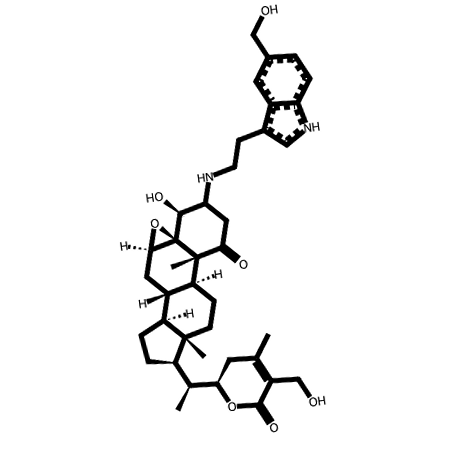 CC1=C(CO)C(=O)O[C@@H]([C@@H](C)[C@H]2CC[C@H]3[C@@H]4C[C@H]5O[C@]56[C@@H](O)C(NCCc5c[nH]c7ccc(CO)cc57)CC(=O)[C@]6(C)[C@H]4CC[C@]23C)C1